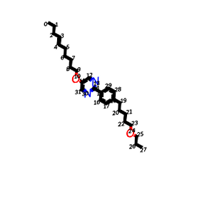 CCC/C=C/CCCCCOc1cnc(-c2ccc(CCCCCOCCC)cc2)nc1